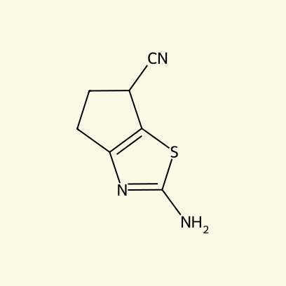 N#CC1CCc2nc(N)sc21